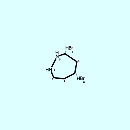 Br.Br.C1CCNNCC1